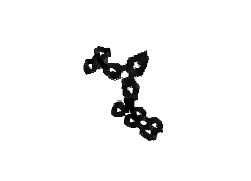 c1ccc(-c2cccc3cccc(-c4ccc(N(c5ccccc5)c5ccc(-c6ccccc6-c6cccc(-n7c8ccccc8c8ccccc87)c6)cc5)cc4)c23)cc1